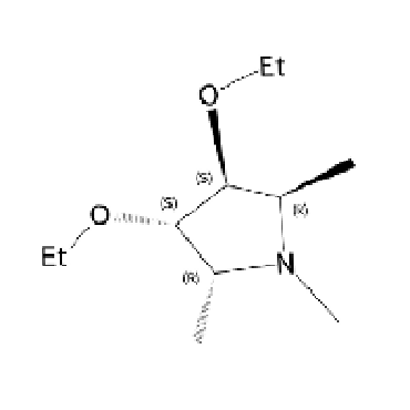 CCO[C@@H]1[C@@H](OCC)[C@@H](C)N(C)[C@@H]1C